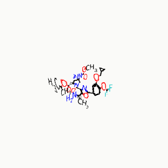 COC(=O)N[C@@H]1C[C@@H](C(=O)OC(C)C)N(C(=O)c2nc(-c3ccc(OC(F)F)c(OCC4CC4)c3)oc2[C@H](C)N)C1